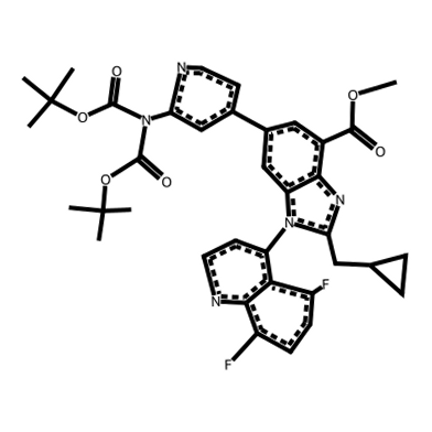 COC(=O)c1cc(-c2ccnc(N(C(=O)OC(C)(C)C)C(=O)OC(C)(C)C)c2)cc2c1nc(CC1CC1)n2-c1ccnc2c(F)ccc(F)c12